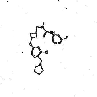 CN(CC1CC(Oc2ccc(CN3CCCC3)c(Cl)c2)C1)C(=O)Nc1cccc(F)c1